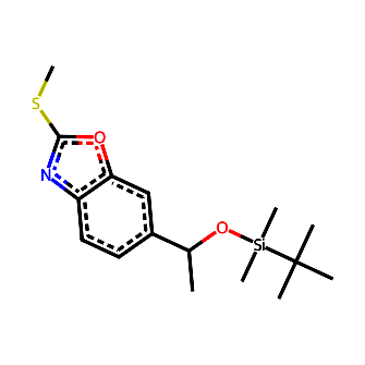 CSc1nc2ccc(C(C)O[Si](C)(C)C(C)(C)C)cc2o1